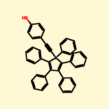 Oc1ccc(C#C[Si]2(c3ccccc3)C(c3ccccc3)=C(c3ccccc3)C(c3ccccc3)=C2c2ccccc2)cc1